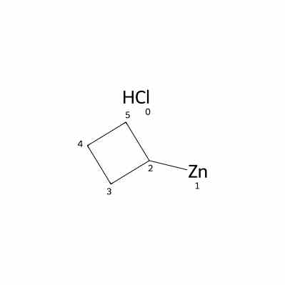 Cl.[Zn][CH]1CCC1